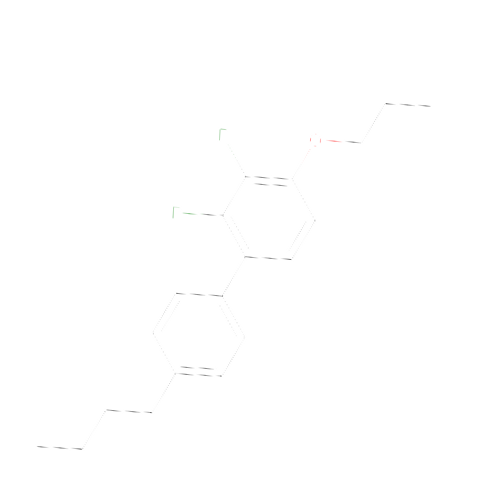 CCCCc1ccc(-c2ccc(OCCC)c(F)c2F)cc1